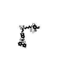 COc1cc(NC(=O)CCCCN(C)C(=O)CCN2CC3CC(OC(=O)Nc4ccccc4-c4ccccc4)CC3C2)c(Cl)cc1C=O